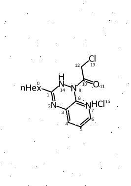 CCCCCCC1=Nc2cccnc2N(C(=O)CCl)N1.Cl